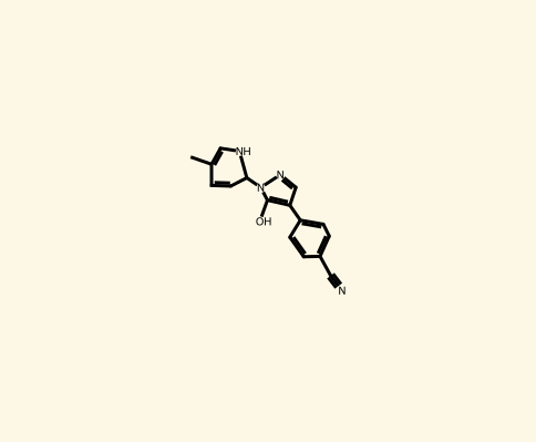 CC1=CNC(n2ncc(-c3ccc(C#N)cc3)c2O)C=C1